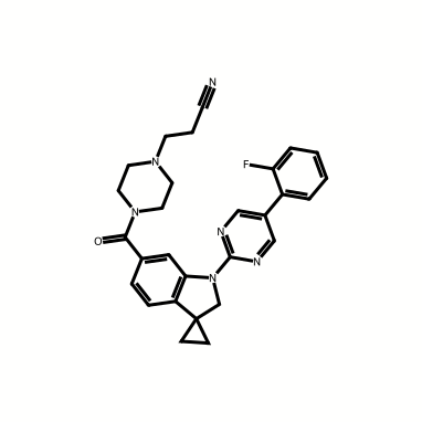 N#CCCN1CCN(C(=O)c2ccc3c(c2)N(c2ncc(-c4ccccc4F)cn2)CC32CC2)CC1